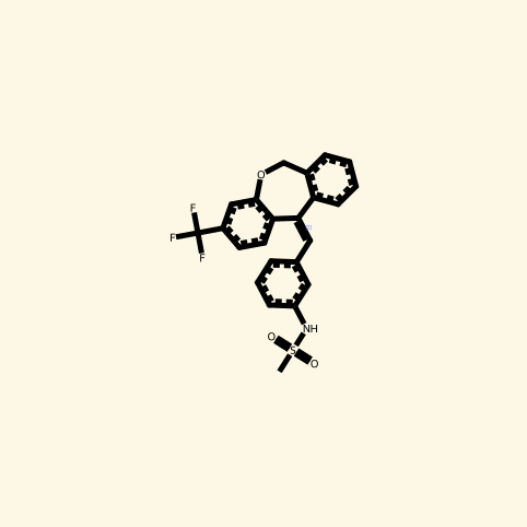 CS(=O)(=O)Nc1cccc(/C=C2/c3ccccc3COc3cc(C(F)(F)F)ccc32)c1